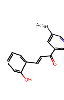 CC(=O)Nc1cncc(C(=O)C=Cc2ccccc2O)c1